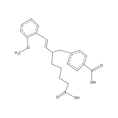 COc1ccccc1C=CC(CCCCC(=O)O)Cc1ccc(C(=O)O)cc1